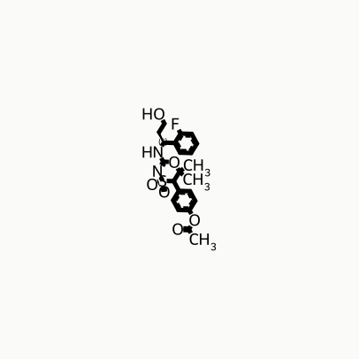 CC(=O)Oc1ccc(C2C(C)(C)OC(N[C@@H](CCO)c3ccccc3F)=NS2(=O)=O)cc1